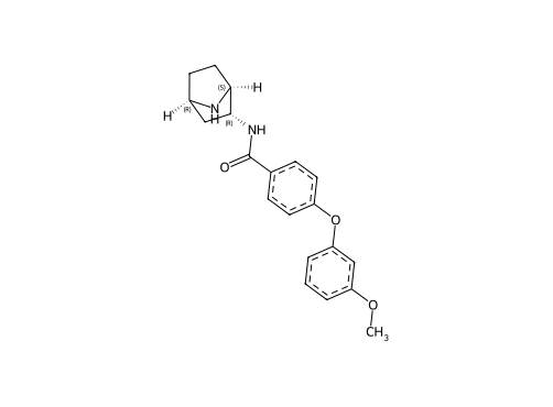 COc1cccc(Oc2ccc(C(=O)N[C@@H]3C[C@H]4CC[C@@H]3N4)cc2)c1